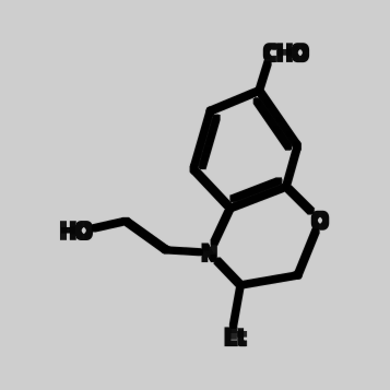 CCC1COc2cc(C=O)ccc2N1CCO